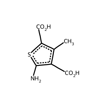 Cc1c(C(=O)O)sc(N)c1C(=O)O